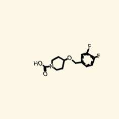 O=C(O)N1CCC(OCc2ccc(F)c(F)c2)CC1